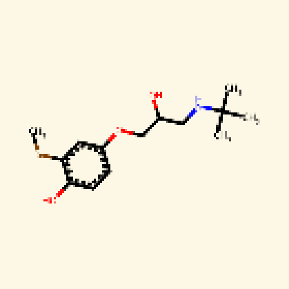 CSc1cc(OCC(O)CNC(C)(C)C)ccc1O